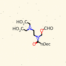 CCCCCCCCCCC(=O)N(CCN(CC(=O)O)CC(=O)O)COC=O